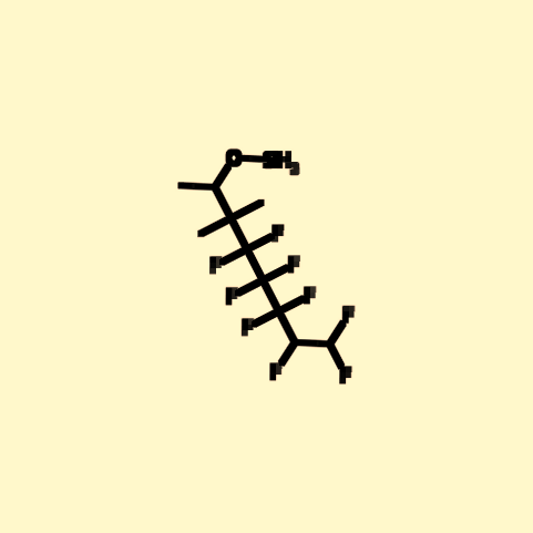 CC(O[SiH3])C(C)(C)C(F)(F)C(F)(F)C(F)(F)C(F)C(F)F